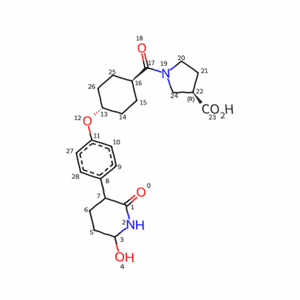 O=C1NC(O)CCC1c1ccc(O[C@H]2CC[C@H](C(=O)N3CC[C@@H](C(=O)O)C3)CC2)cc1